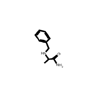 CC(NCc1ccccc1)C(N)=O